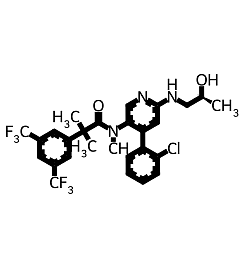 C[C@H](O)CNc1cc(-c2ccccc2Cl)c(N(C)C(=O)C(C)(C)c2cc(C(F)(F)F)cc(C(F)(F)F)c2)cn1